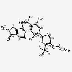 CCN1Cc2c(ccnc2N[C@@H](C)c2cc(F)c(-c3cc(C(C)(C)F)c(OCOC)cn3)cc2F)C1=O